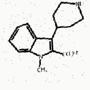 CCOC(=O)c1c(C2CCNCC2)c2ccccc2n1C